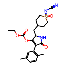 CCOC(=O)OC1=C(c2cc(C)ccc2C)C(=O)NC1CC1CCS(=O)(=NC#N)CC1